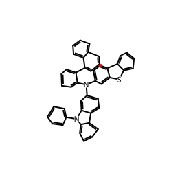 c1ccc(-n2c3ccccc3c3ccc(N(c4ccc5c(c4)sc4ccccc45)c4ccccc4-c4cccc5ccccc45)cc32)cc1